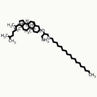 CCCCCCCCCCCCCCCCCCOCC(CN)O[C@H]1CC[C@@]2(C)C(=CC[C@H]3[C@@H]4CC[C@H]([C@H](C)CCCC(C)C)[C@@]4(C)CC[C@@H]32)C1